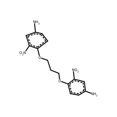 Nc1ccc(OCCCOc2ccc(N)cc2[N+](=O)[O-])c([N+](=O)[O-])c1